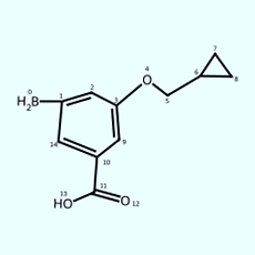 Bc1cc(OCC2CC2)cc(C(=O)O)c1